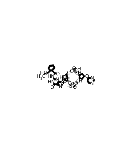 CNCc1ccccc1C(=O)Nc1nc2c(ncn2[C@@H]2OC3CO[P@@](=O)(S)O[C@H]4C[C@H](Oc5ccncn5)C[C@@H]4CO[P@@](=O)(S)O[C@@H]2[C@@H]3O)c(=O)[nH]1